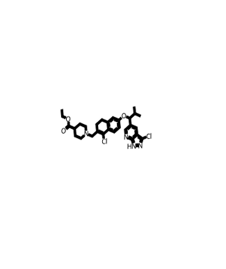 CCOC(=O)C1CCN(CC2=C(Cl)c3ccc(OC(c4cnc5[nH]nc(Cl)c5c4)C(C)C)cc3CC2)CC1